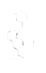 CC(C)Oc1cc2c(OC3CCCN(C)C3)ccnc2cc1C(N)=O